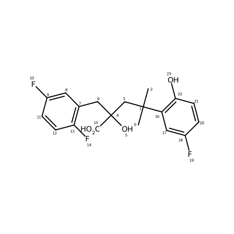 CC(C)(CC(O)(Cc1cc(F)ccc1F)C(=O)O)c1cc(F)ccc1O